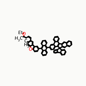 CCOC(C)C/C=C\c1cc2c(cc1C)oc1ccc(-c3c4ccccc4c(-c4ccc5c6c(c7ccccc7c5c4)-c4cc5ccccc5cc4C64c5ccccc5-c5ccccc54)c4ccccc34)cc12